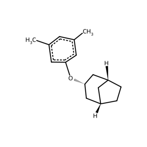 Cc1cc(C)cc(O[C@@H]2C[C@@H]3CC[C@@H](C3)C2)c1